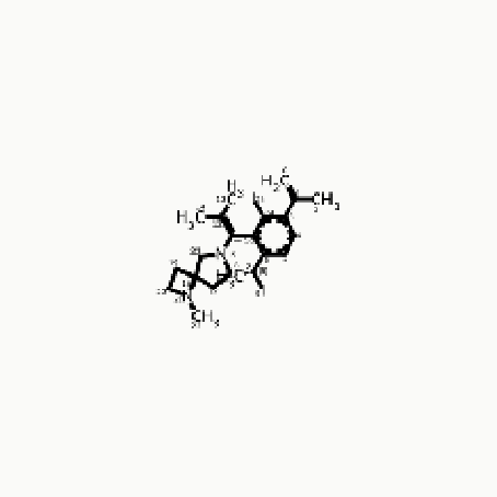 C=C(C)c1ccc([C@@H](C)I)c(C(=C(C)C)N2CCC3(CCN3C)C2)c1I